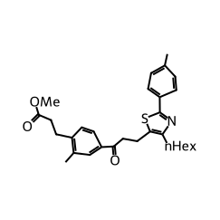 CCCCCCc1nc(-c2ccc(C)cc2)sc1CCC(=O)c1ccc(CCC(=O)OC)c(C)c1